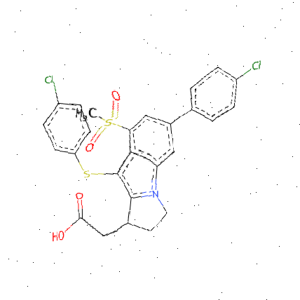 CS(=O)(=O)c1cc(-c2ccc(Cl)cc2)cc2c1c(Sc1ccc(Cl)cc1)c1n2CCC1CC(=O)O